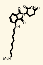 CNCCCCCCCCNc1cccc2c1C(=O)N(C1CCC(=O)NC1=O)C2=O